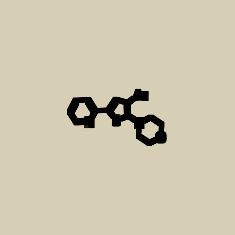 CC(=O)c1cc(-c2ccccn2)sc1N1CCOCC1